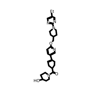 CCc1cnc(N2CCC(COc3ccc(C4=CCC(C(=O)N5CCC(O)CC5)CC4)cn3)CC2)nc1